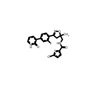 CC1(CNC(=O)c2ccc(Cl)s2)CC(c2ccc(-c3ccc[nH]c3=O)cc2F)=NO1